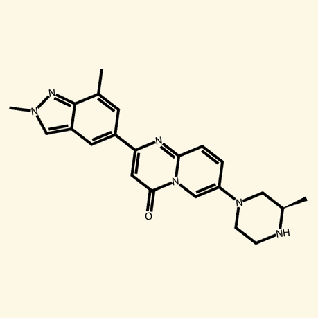 Cc1cc(-c2cc(=O)n3cc(N4CCN[C@H](C)C4)ccc3n2)cc2cn(C)nc12